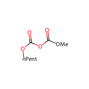 CCCCCOC(=O)OC(=O)OC